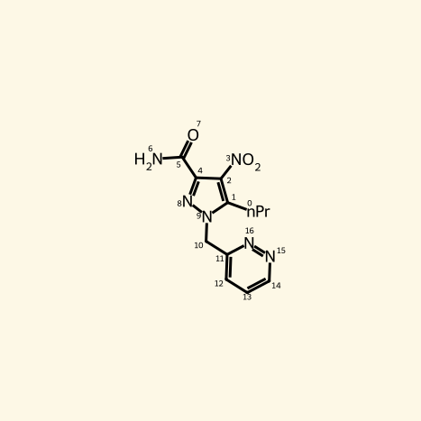 CCCc1c([N+](=O)[O-])c(C(N)=O)nn1Cc1cccnn1